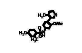 COc1cc(NS(=O)(=O)c2ccc(C)cc2C)ccc1-c1cnccc1C